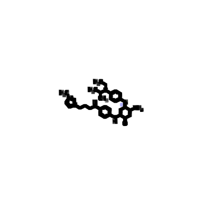 CCN(c1ccc(/N=C2\C=C(Nc3ccc(NCCCn4cc[n+](C)c4)cc3)C(=O)C=C2N)cc1)C(C)C